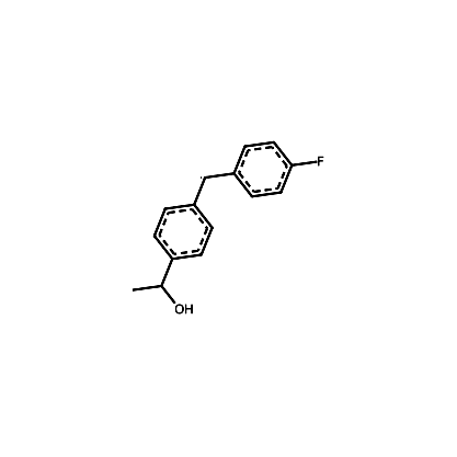 CC(O)c1ccc([CH]c2ccc(F)cc2)cc1